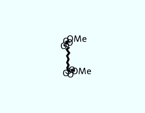 COOS(=O)(=O)CCCCCCCCS(=O)(=O)OOC